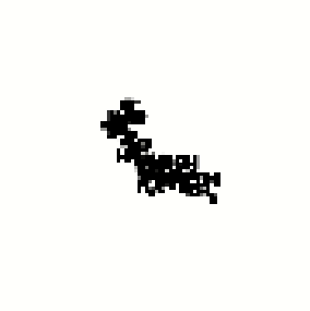 COC(CO)C(O)C(F)(F)[C@@H](C)n1ccc(NC(=O)CCn2ccnc2[N+](=O)[O-])nc1=O